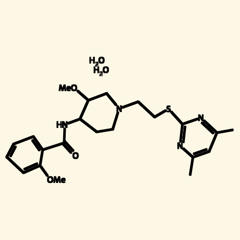 COc1ccccc1C(=O)NC1CCN(CCSc2nc(C)cc(C)n2)CC1OC.O.O